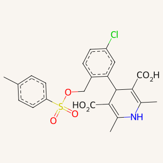 CC1=C(C(=O)O)C(c2cc(Cl)ccc2COS(=O)(=O)c2ccc(C)cc2)C(C(=O)O)=C(C)N1